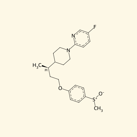 C[C@H](CCOc1ccc([S+](C)[O-])cc1)C1CCN(c2ccc(F)cn2)CC1